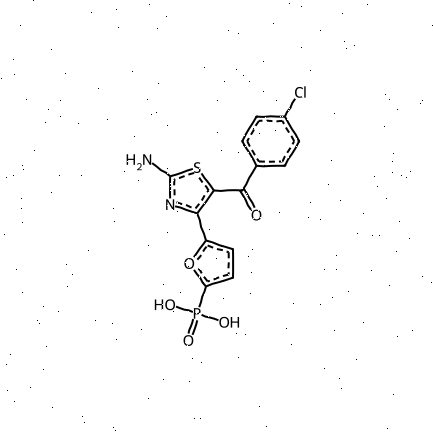 Nc1nc(-c2ccc(P(=O)(O)O)o2)c(C(=O)c2ccc(Cl)cc2)s1